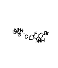 CN(CCCOc1ccc(-c2n[nH]c3cc(Br)ccc23)c(F)c1)C(=O)[C@@H]1CCCN1